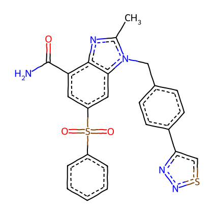 Cc1nc2c(C(N)=O)cc(S(=O)(=O)c3ccccc3)cc2n1Cc1ccc(-c2csnn2)cc1